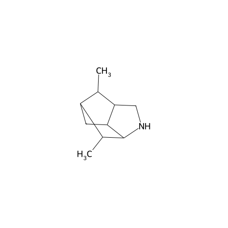 CC1C2CC3C1CNC3C2C